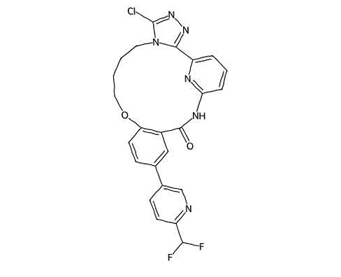 O=C1Nc2cccc(n2)-c2nnc(Cl)n2CCCCOc2ccc(-c3ccc(C(F)F)nc3)cc21